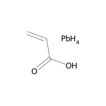 C=CC(=O)O.[PbH4]